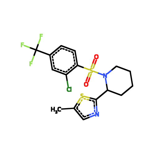 Cc1cnc(C2CCCCN2S(=O)(=O)c2ccc(C(F)(F)F)cc2Cl)s1